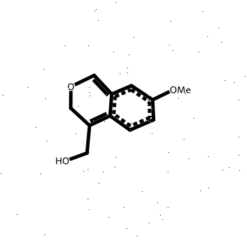 COc1ccc2c(c1)=COCC=2CO